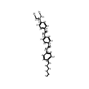 CCCCCCc1ccc(N=Nc2ccc(N=Nc3ccc(N(CC)CC)cc3)cc2)cc1